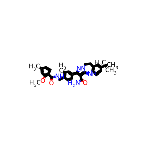 COc1cc(C)ccc1C(=O)NCc1ccc(-c2nn3c(c2C(N)=O)Nc2ccc(C(C)(C)C)cc2CC3)cc1C